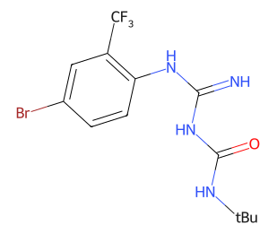 CC(C)(C)NC(=O)NC(=N)Nc1ccc(Br)cc1C(F)(F)F